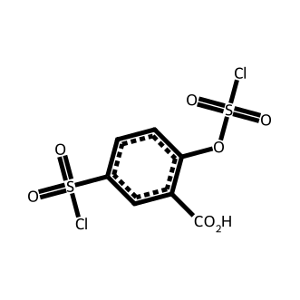 O=C(O)c1cc(S(=O)(=O)Cl)ccc1OS(=O)(=O)Cl